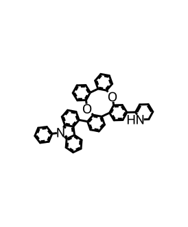 C1=CCNC(c2ccc3c(c2)Oc2ccccc2-c2ccccc2Oc2c-3cccc2-c2cccc3c2c2ccccc2n3-c2ccccc2)=C1